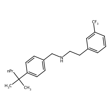 CCCC(C)(C)c1ccc(CNCCc2cccc(C(F)(F)F)c2)cc1